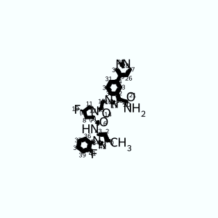 Cc1cc(NC(=O)[C@@H]2C[C@@H](F)CN2C(=O)Cn2nc(C(N)=O)c3cc(-c4ccnnc4)ccc32)n(-c2ccccc2F)n1